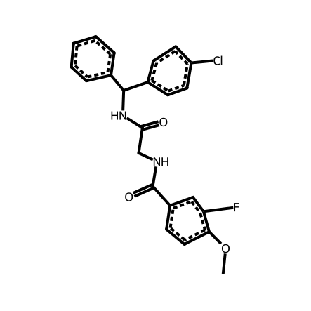 COc1ccc(C(=O)NCC(=O)NC(c2ccccc2)c2ccc(Cl)cc2)cc1F